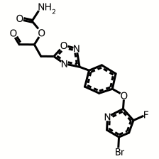 NC(=O)OC(C=O)Cc1nc(-c2ccc(Oc3ncc(Br)cc3F)cc2)no1